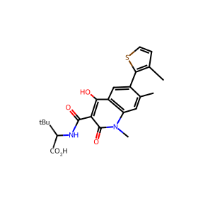 Cc1cc2c(cc1-c1sccc1C)c(O)c(C(=O)NC(C(=O)O)C(C)(C)C)c(=O)n2C